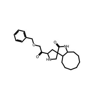 O=C(COCc1ccccc1)C1CC2(CN1)C(=O)NC1CCCCCCCC12